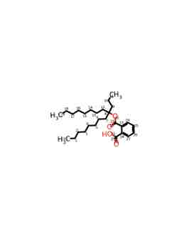 CCCCCCCCC(CCC)(CCCCCCCC)OC(=O)c1ccccc1C(=O)O